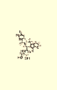 CC1(C)CN(C(=O)c2ccc(F)c(F)c2)C=C(C(=O)NC(CO)CO)c2[nH]c3ccccc3c21